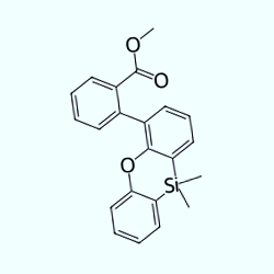 COC(=O)c1ccccc1-c1cccc2c1Oc1ccccc1[Si]2(C)C